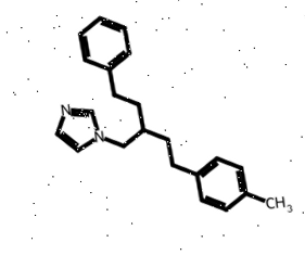 Cc1ccc(CCC(CCc2ccccc2)Cn2ccnc2)cc1